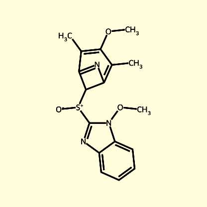 COc1c(C)c2nc(c1C)C2[S+]([O-])c1nc2ccccc2n1OC